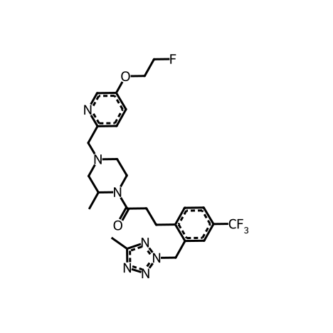 Cc1nnn(Cc2cc(C(F)(F)F)ccc2CCC(=O)N2CCN(Cc3ccc(OCCF)cn3)CC2C)n1